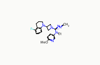 C=N/N=C(/N1CC(N2CCCc3c(F)cccc32)C1)N(CC)c1ccc(OC)nc1